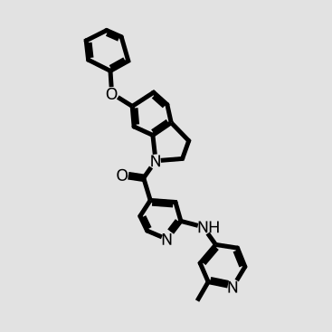 Cc1cc(Nc2cc(C(=O)N3CCc4ccc(Oc5ccccc5)cc43)ccn2)ccn1